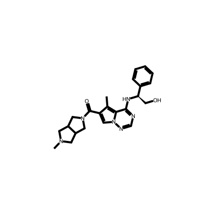 Cc1c(C(=O)N2CC3CN(C)CC3C2)cn2ncnc(N[C@H](CO)c3ccccc3)c12